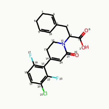 O=C(O)C(CC1=CCCC=C1)N1CCC(c2c(F)ccc(Cl)c2F)=CC1=O